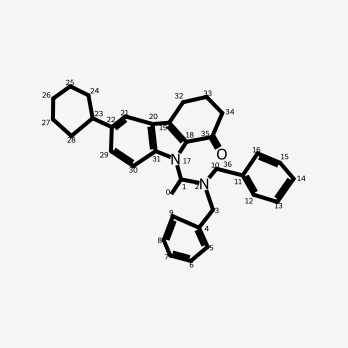 CC(N(Cc1ccccc1)Cc1ccccc1)n1c2c(c3cc(C4CCCCC4)ccc31)CCCC2=O